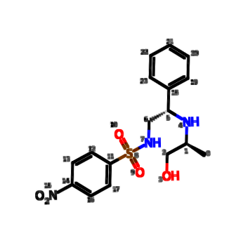 C[C@@H](CO)N[C@H](CNS(=O)(=O)c1ccc([N+](=O)[O-])cc1)c1ccccc1